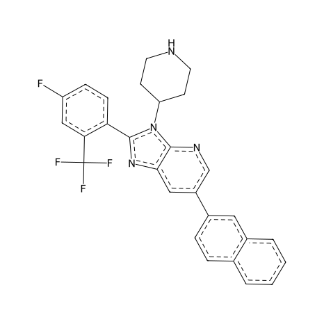 Fc1ccc(-c2nc3cc(-c4ccc5ccccc5c4)cnc3n2C2CCNCC2)c(C(F)(F)F)c1